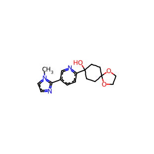 Cn1ccnc1-c1ccc(C2(O)CCC3(CC2)OCCO3)nc1